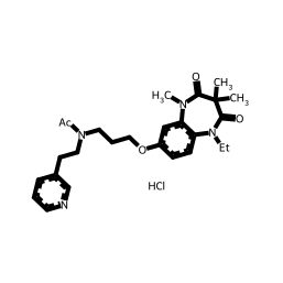 CCN1C(=O)C(C)(C)C(=O)N(C)c2cc(OCCCN(CCc3cccnc3)C(C)=O)ccc21.Cl